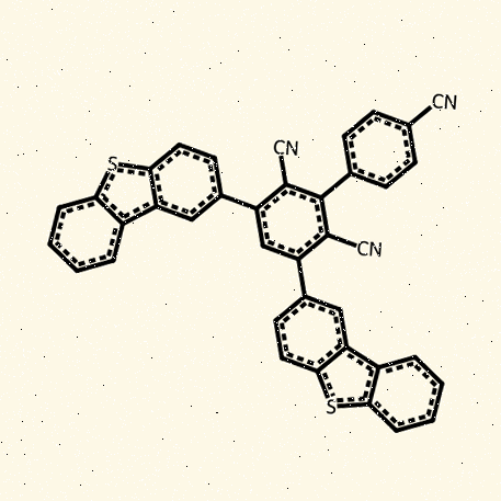 N#Cc1ccc(-c2c(C#N)c(-c3ccc4sc5ccccc5c4c3)cc(-c3ccc4sc5ccccc5c4c3)c2C#N)cc1